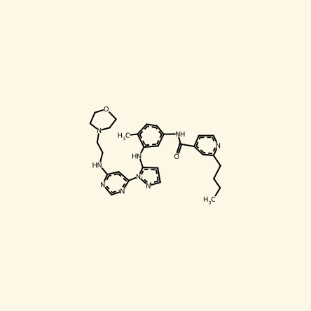 CCCCc1cc(C(=O)Nc2ccc(C)c(Nc3ccnn3-c3cc(NCCN4CCOCC4)ncn3)c2)ccn1